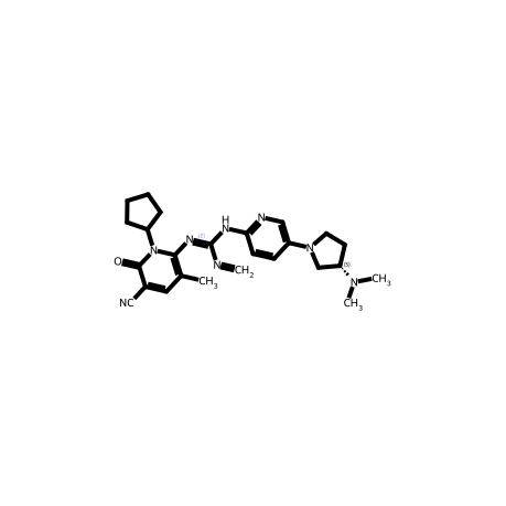 C=N/C(=N\c1c(C)cc(C#N)c(=O)n1C1CCCC1)Nc1ccc(N2CC[C@H](N(C)C)C2)cn1